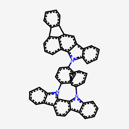 c1ccc(-n2c3ccccc3c3ccc4c5ccccc5n(-c5ccc(-n6c7ccccc7c7cc8c9c(cccc9c76)-c6ccccc6-8)cc5)c4c32)cc1